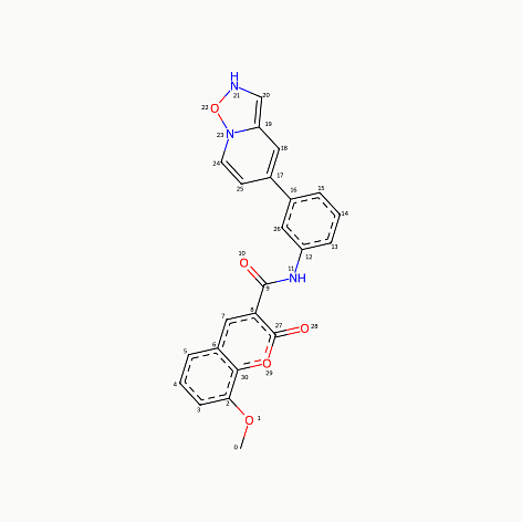 COc1cccc2cc(C(=O)Nc3cccc(C4=CC5=CNON5C=C4)c3)c(=O)oc12